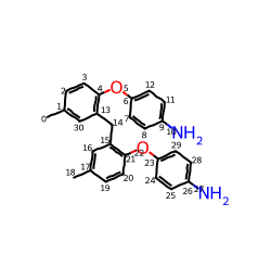 Cc1ccc(Oc2ccc(N)cc2)c(Cc2cc(C)ccc2Oc2ccc(N)cc2)c1